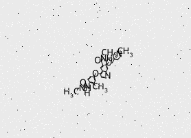 CCNC(=O)Nc1ccc(Oc2ccnc3cc(OCC4CCN(C)CC4)c(C(=O)NCC)cc23)cc1C